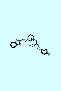 OC(COc1ccc(F)cc1)CN1CCCC(NCc2nc3ccccc3s2)C1